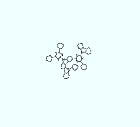 c1ccc(-c2nc(-c3ccc4c(c3)c3c(ccc5c6ccccc6n(-c6ccccc6)c53)n4-c3nc(-c4ccccc4)nc(-c4ccccc4)n3)nc(-n3c4ccccc4c4ccccc43)n2)cc1